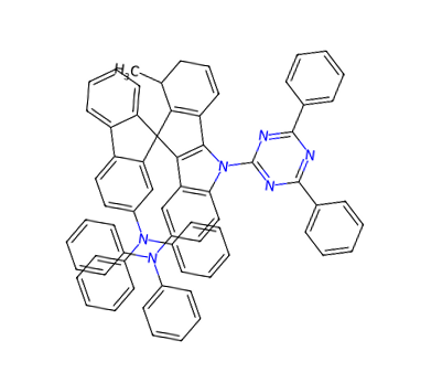 CC1CC=CC2=C1C1(c3ccccc3-c3ccc(N(c4ccccc4)c4ccccc4)cc31)c1c2n(-c2nc(-c3ccccc3)nc(-c3ccccc3)n2)c2ccc(N(c3ccccc3)c3ccccc3)cc12